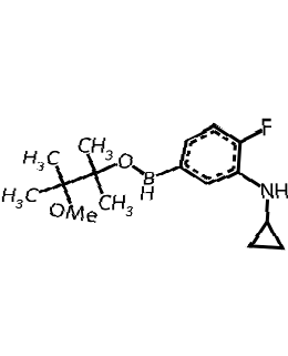 COC(C)(C)C(C)(C)OBc1ccc(F)c(NC2CC2)c1